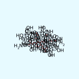 NCC(=O)N[C@@H](CO)C(=O)NCC(=O)N[C@@H](CO)C(=O)N[C@@H](CC(=O)O)C(=O)N[C@@H](CO)C(=O)N[C@@H](CC(N)=O)C(=O)N[C@@H](CC(=O)O)C(=O)N[C@@H](CO)C(=O)N[C@@H](CC(=O)O)C(=O)N[C@@H](CO)C(=O)N[C@@H](CC(N)=O)C(=O)N[C@@H](CC(=O)O)C(=O)NCC(=O)N[C@@H](CO)C(=O)NCC(=O)N[C@@H](CO)C(=O)N[C@@H](CC(=O)O)C(=O)N[C@@H](CO)C(=O)N[C@@H](CC(N)=O)C(=O)N[C@@H](CC(=O)O)C(=O)O